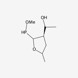 COPC1OC(C)C[C@@H]1C(C)O